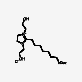 CCCCCCCCCCCCCCCCCC1=[N+](CCO)CCN1CCO.[Cl-]